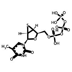 Cc1cn([C@@H]2O[C@H](COP(=O)(O)OP(=O)(O)OP(=O)(O)O)[C@@H]3S[C@@H]32)c(=O)[nH]c1=O